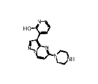 Oc1ncccc1-c1cnn2ccc(N3CCNCC3)nc12